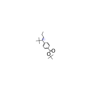 CC/C=C(/c1ccc(C(=O)OC(C)(C)C)cc1)C(C)(C)C